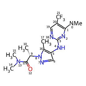 CNc1nc(Nc2cnn([C@@H](C)C(=O)N(C)C)c2C)ncc1C(F)(F)F